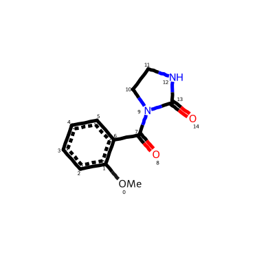 COc1ccccc1C(=O)N1CCNC1=O